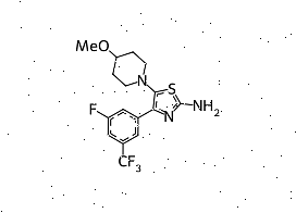 COC1CCN(c2sc(N)nc2-c2cc(F)cc(C(F)(F)F)c2)CC1